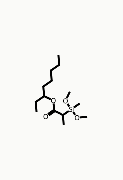 CCCCCC(CC)OC(=O)C(C)[Si](C)(OC)OC